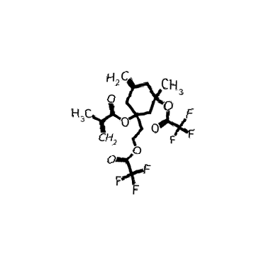 C=C1CC(C)(OC(=O)C(F)(F)F)CC(CCOC(=O)C(F)(F)F)(OC(=O)C(=C)C)C1